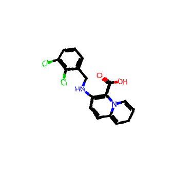 O=C(O)C1=C(NCc2cccc(Cl)c2Cl)C=CC2=CCC=CN21